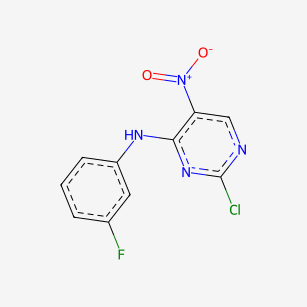 O=[N+]([O-])c1cnc(Cl)nc1Nc1cccc(F)c1